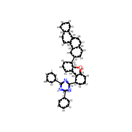 c1ccc(-c2nc(-c3ccccc3)nc(-c3cccc4oc5c(-c6ccc7ccc8c9ccccc9ccc8c7c6)cccc5c34)n2)cc1